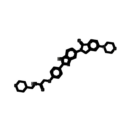 O=C(COc1ccc(-c2nc3cc(N4Cc5cc(N6CCOCC6)ccc5C4=O)ccc3[nH]2)cc1)NCC1CCOCC1